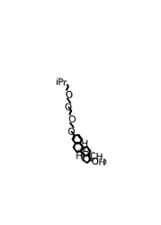 CC(C)CCOCCOCCOCCOc1ccc2c(c1)CC[C@@H]1[C@@H]2CC[C@]2(C)[C@@H](O)CC[C@@H]12